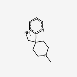 CN1CCC(CN)(c2ccccn2)CC1